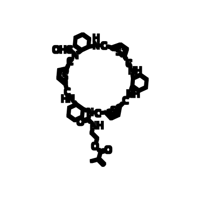 C=C(C)C(=O)OCCNC(=O)N1Cc2ccc(s2)CNC2CCCCC2NCc2ccc(s2)CNC2CCCCC2N(C=O)Cc2ccc(s2)CNC2CCCCC21